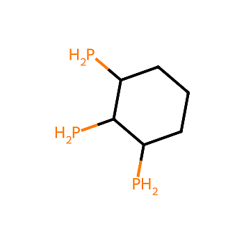 PC1CCCC(P)C1P